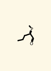 CCC/C(C=O)=P\C